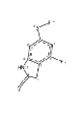 C=C1Cc2c(F)cc(SF)cc2N1